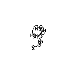 CC1(C)C[C@@H]2CCCn3ccc(n3)S(=O)(=O)NC(=O)c3ccc(-n4ccc(OCCC5CCC56CC6)n4)nc3N1C2